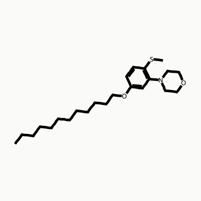 CCCCCCCCCCCCOc1ccc(SC)c(N2CCOCC2)c1